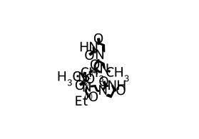 CC[C@@H]1CN([P@@](=O)(OC[C@@H]2CN(C)CC(n3ccc(=O)[nH]c3=O)O2)N(C)C)CC(n2ccc(=O)[nH]c2=O)O1